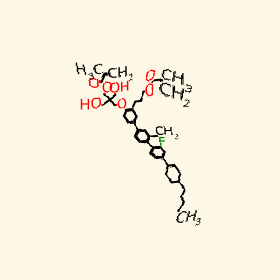 C=C(C)C(=O)OCCCc1cc(-c2ccc(-c3ccc(C4CCC(CCCCC)CC4)cc3F)c(CC)c2)ccc1OCC(CO)(CO)COC(=O)C(=C)C